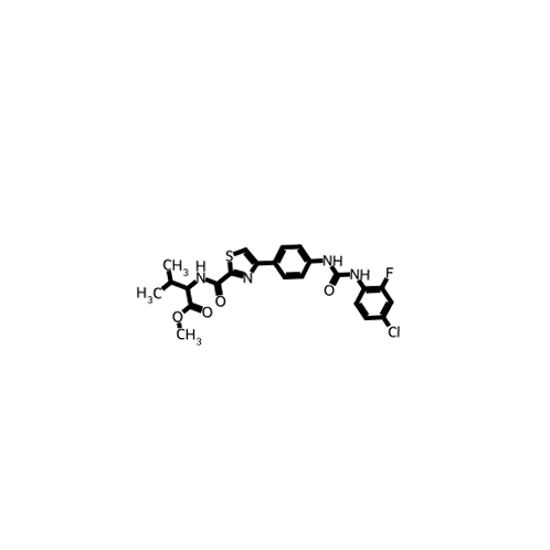 COC(=O)C(NC(=O)c1nc(-c2ccc(NC(=O)Nc3ccc(Cl)cc3F)cc2)cs1)C(C)C